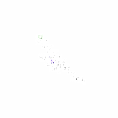 CCCCCCCCCCCCCCCCCl.CCN(CC)CC